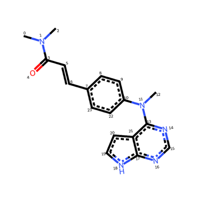 CN(C)C(=O)C=Cc1ccc(N(C)c2ncnc3[nH]ccc23)cc1